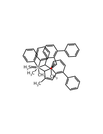 CC1=Cc2c(-c3ccccc3)cccc2[CH]1[Ti]([CH3])([CH3])(=[SiH2])([c]1ccccc1)([c]1ccccc1)[CH]1C(C)=Cc2c(-c3ccccc3)cccc21